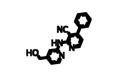 N#Cc1c(-c2ccccc2)ccnc1Nc1cc(CO)ccn1